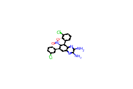 Nc1nc2cc(-c3cccc(Cl)c3)c([N+](=O)[O-])c(-c3cccc(Cl)c3)c2nc1N